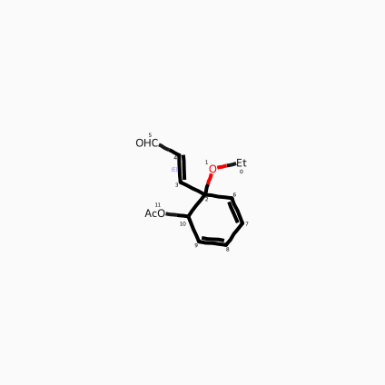 CCOC1(/C=C/C=O)C=CC=CC1OC(C)=O